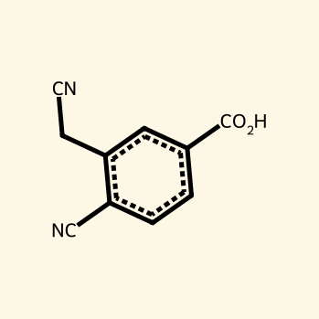 N#CCc1cc(C(=O)O)ccc1C#N